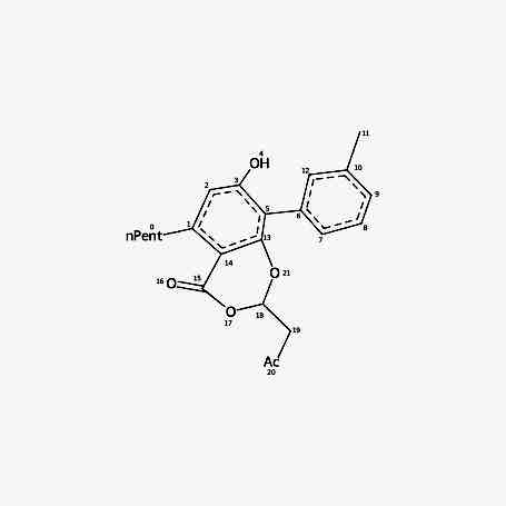 CCCCCc1cc(O)c(-c2cccc(C)c2)c2c1C(=O)OC(CC(C)=O)O2